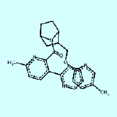 Cc1ccc(OCC2CC3CCC2N3C(=O)c2nc(C)ccc2-c2ncccn2)nc1